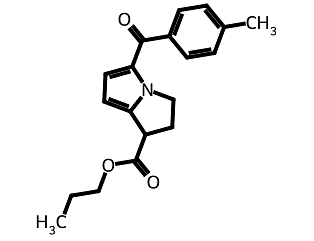 CCCOC(=O)C1CCn2c(C(=O)c3ccc(C)cc3)ccc21